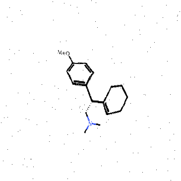 COc1ccc([C@@H](CN(C)C)C2=CCCCC2)cc1